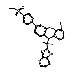 CCS(=O)(=O)c1ccc(-c2ccc3c(n2)Oc2c(F)cccc2C3C(C)(C)c2nc3nccnc3[nH]2)cc1